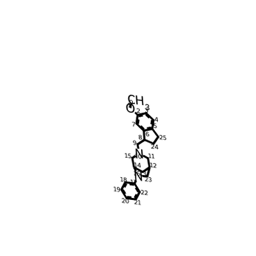 COc1ccc2c(c1)C(CN1CC3CC(C1)N(c1ccccc1)C3)CC2